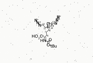 CC(C)(C)OC(=O)N[C@@H](CCC[N+](C)(CCN=[N+]=[N-])CCN=[N+]=[N-])C(=O)O